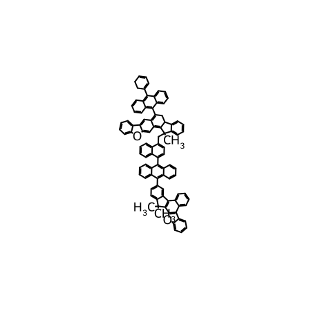 CC1(Cc2ccc(-c3c4ccccc4c(-c4ccc5c(c4)-c4c(c6oc7ccccc7c6c6ccccc46)C5(C)C)c4ccccc34)c3ccccc23)C2=c3cc4oc5ccccc5c4cc3=C(c3c4ccccc4c(C4=CC=CCC4)c4ccccc34)CC2c2ccccc21